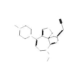 CON1CC=C(N2CCN(C)CC2)C2=CSCC23C/C(=C\C#N)CC=C13